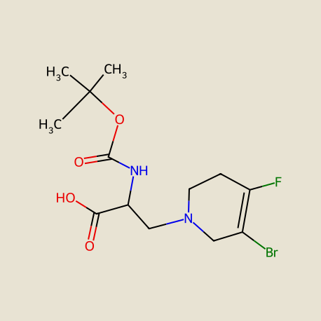 CC(C)(C)OC(=O)NC(CN1CCC(F)=C(Br)C1)C(=O)O